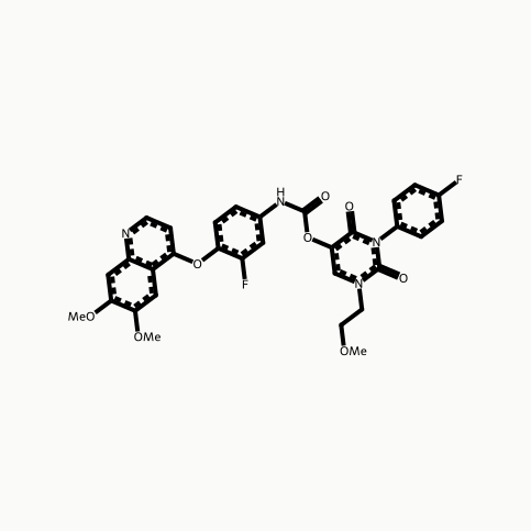 COCCn1cc(OC(=O)Nc2ccc(Oc3ccnc4cc(OC)c(OC)cc34)c(F)c2)c(=O)n(-c2ccc(F)cc2)c1=O